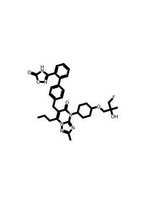 CCCc1c(Cc2ccc(-c3ccccc3-c3noc(=O)[nH]3)cc2)c(=O)n(C2CCC(OCC(C)(O)CF)CC2)c2nc(C)nn12